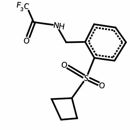 O=C(NCc1ccccc1S(=O)(=O)C1CCC1)C(F)(F)F